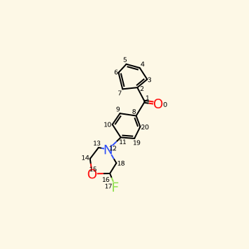 O=C(c1ccccc1)c1ccc(N2CCOC(F)C2)cc1